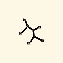 CCB(N(CC)CC)N(CC)CC